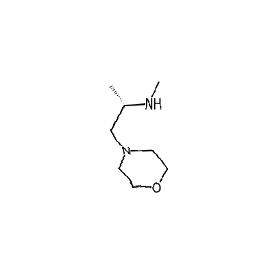 CN[C@@H](C)CN1CCOCC1